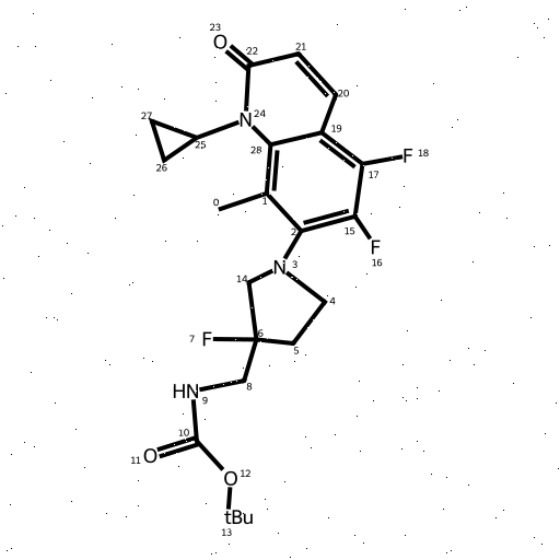 Cc1c(N2CCC(F)(CNC(=O)OC(C)(C)C)C2)c(F)c(F)c2[c]cc(=O)n(C3CC3)c12